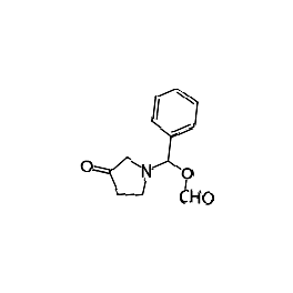 O=COC(c1ccccc1)N1CCC(=O)C1